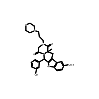 COc1ccc2[nH]c3c(c2c1)CC1(C)C(=O)N(CCCN2CCOCC2)CC(=O)N1C3c1cccc(O)c1